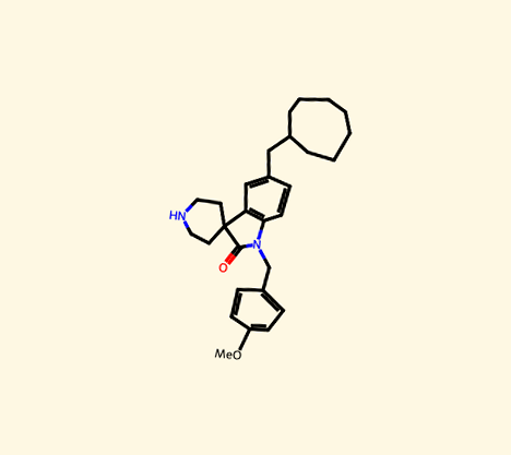 COc1ccc(CN2C(=O)C3(CCNCC3)c3cc(CC4CCCCCCC4)ccc32)cc1